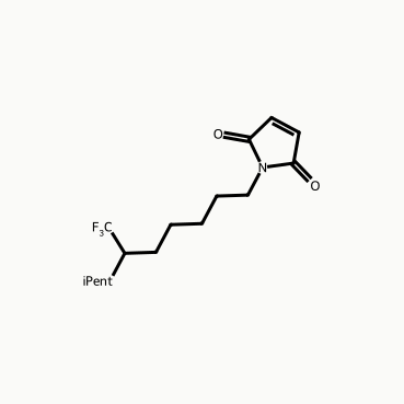 CCCC(C)C(CCCCCN1C(=O)C=CC1=O)C(F)(F)F